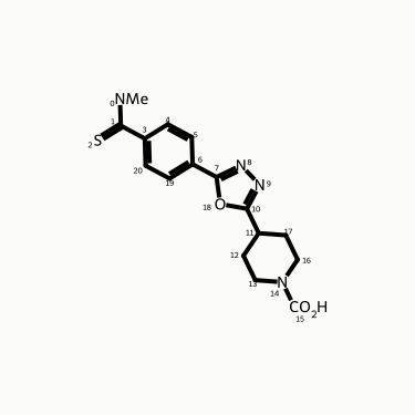 CNC(=S)c1ccc(-c2nnc(C3CCN(C(=O)O)CC3)o2)cc1